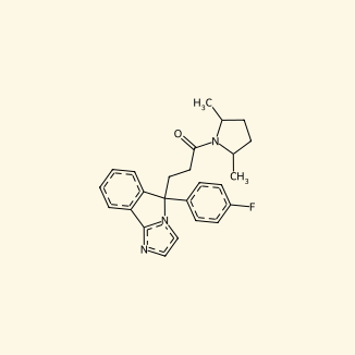 CC1CCC(C)N1C(=O)CCC1(c2ccc(F)cc2)c2ccccc2-c2nccn21